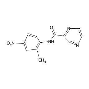 Cc1cc([N+](=O)[O-])ccc1NC(=O)c1cnccn1